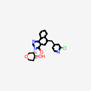 O=c1c2cc(Cc3ccnc(Cl)c3)c3ccccc3c2ncn1[C@H]1COCC[C@@H]1O